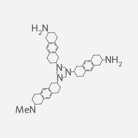 CNC1CCc2cc3c(cc2C1)CCC(N1CN(C2CCc4cc5c(cc4C2)CCC(N)C5)CN(C2CCc4cc5c(cc4C2)CCC(N)C5)C1)C3